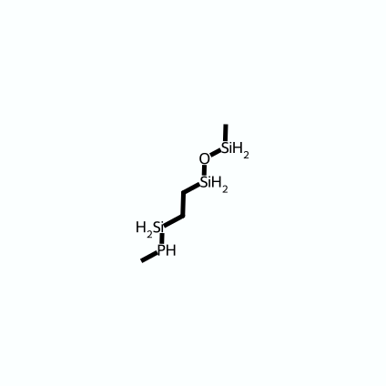 C[SiH2]O[SiH2]CC[SiH2]PC